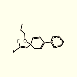 CCCOC1(C=C(F)F)C=CC(c2ccccc2)=CC1